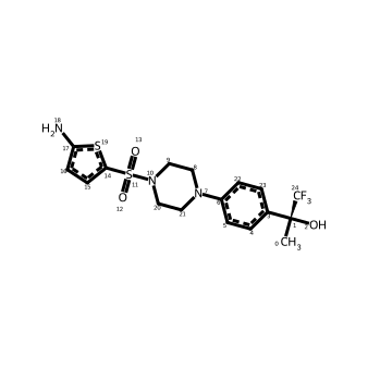 C[C@@](O)(c1ccc(N2CCN(S(=O)(=O)c3ccc(N)s3)CC2)cc1)C(F)(F)F